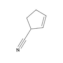 N#CC1C=CCC1